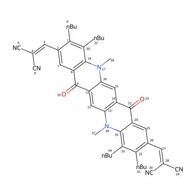 CCCCc1c(C=C(C#N)C#N)cc2c(=O)c3cc4c(cc3n(C)c2c1CCCC)c(=O)c1cc(C=C(C#N)C#N)c(CCCC)c(CCCC)c1n4C